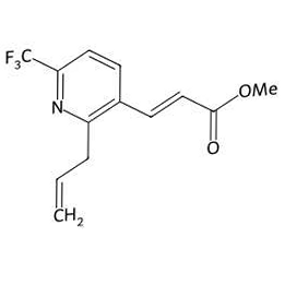 C=CCc1nc(C(F)(F)F)ccc1C=CC(=O)OC